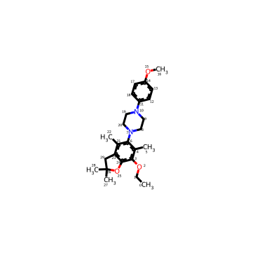 CCOc1c(C)c(N2CCN(c3ccc(OC)cc3)CC2)c(C)c2c1OC(C)(C)C2